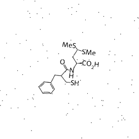 CSC(C[C@H](NC(=O)C(CS)Cc1ccccc1)C(=O)O)SC